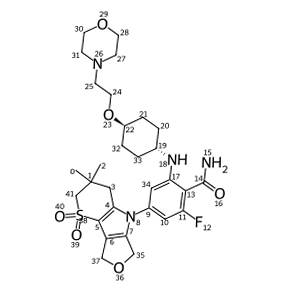 CC1(C)Cc2c(c3c(n2-c2cc(F)c(C(N)=O)c(N[C@H]4CC[C@H](OCCN5CCOCC5)CC4)c2)COC3)S(=O)(=O)C1